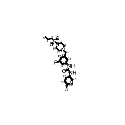 CCCS(=O)(=O)N1CCN(Cc2cc(F)cc(NC(=O)Nc3ccc(C)nc3)c2)CC1